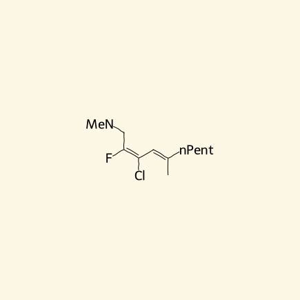 CCCCC/C(C)=C/C(Cl)=C(/F)CNC